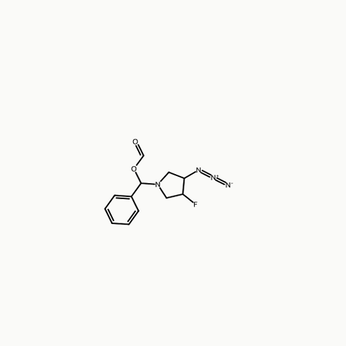 [N-]=[N+]=NC1CN(C(OC=O)c2ccccc2)CC1F